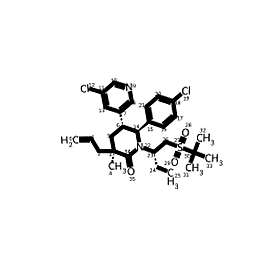 C=CC[C@@]1(C)C[C@H](c2cncc(Cl)c2)[C@@H](c2ccc(Cl)cc2)N([C@@H](CC)CS(=O)(=O)C(C)(C)C)C1=O